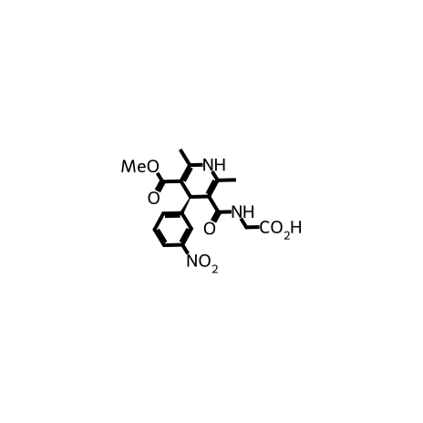 COC(=O)C1=C(C)NC(C)=C(C(=O)NCC(=O)O)[C@H]1c1cccc([N+](=O)[O-])c1